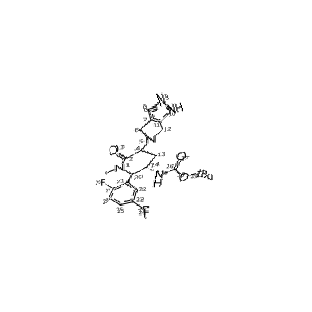 CN1C(=O)C(N2Cc3cn[nH]c3C2)C[C@H](NC(=O)OC(C)(C)C)[C@H]1c1cc(F)ccc1F